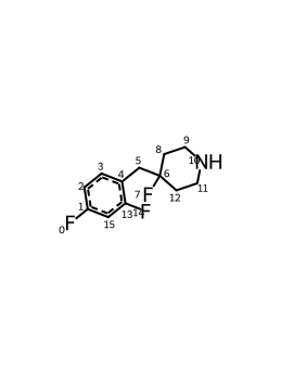 Fc1ccc(CC2(F)CCNCC2)c(F)c1